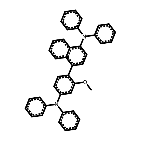 COc1cc(N(c2ccccc2)c2ccccc2)ccc1-c1ccc(N(c2ccccc2)c2ccccc2)c2ccccc12